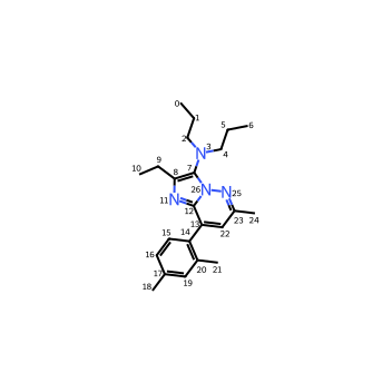 CCCN(CCC)c1c(CC)nc2c(-c3ccc(C)cc3C)cc(C)nn12